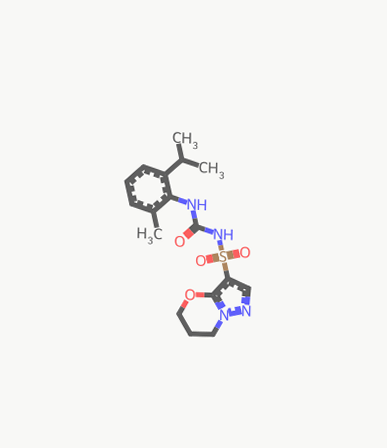 Cc1cccc(C(C)C)c1NC(=O)NS(=O)(=O)c1cnn2c1OCCC2